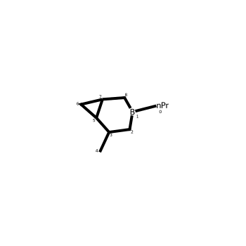 CCCB1CC(C)C2CC2C1